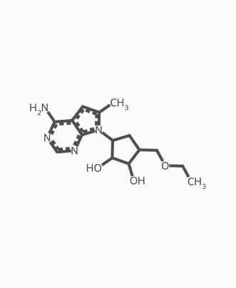 CCOCC1CC(n2c(C)cc3c(N)ncnc32)C(O)C1O